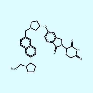 COC[C@@H]1CCC[C@H]1c1ccc2cc(CN3CC[C@H](Oc4ccc5c(c4)CN(C4CCC(=O)NC4=O)C5=O)C3)ccc2n1